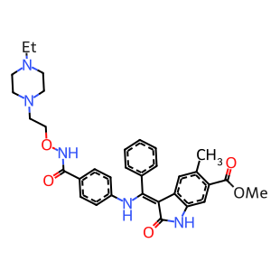 CCN1CCN(CCONC(=O)c2ccc(N/C(=C3\C(=O)Nc4cc(C(=O)OC)c(C)cc43)c3ccccc3)cc2)CC1